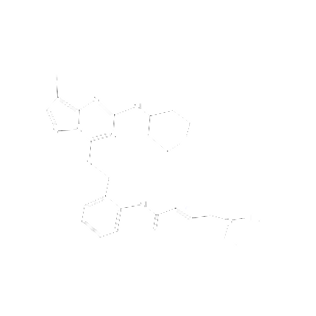 CC(C)c1cnn2c(NCc3ccccc3NC(=O)/C=C/CN(C)C)nc(NC3CCOCC3)nc12